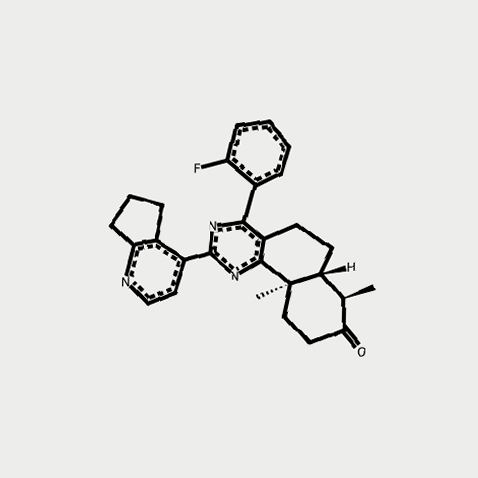 C[C@H]1C(=O)CC[C@@]2(C)c3nc(-c4ccnc5c4CCC5)nc(-c4ccccc4F)c3CC[C@H]12